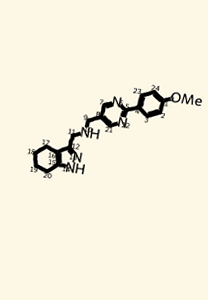 COc1ccc(-c2ncc(CNCc3n[nH]c4c3CCCC4)cn2)cc1